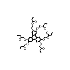 C=CC(=O)COc1cc2c(cc1OCOC(=O)C=C)c1cc(OCOC(=O)C=C)c(OCOC(=O)C=C)cc1c1cc(OCC(=O)C=C)c(OCC(=O)C=C)cc21